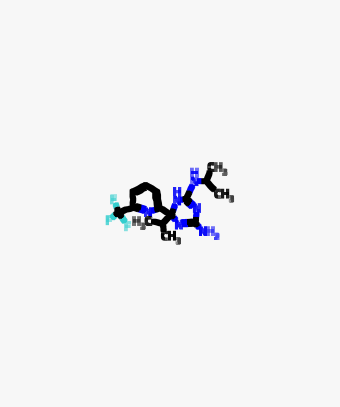 CC(C)NC1=NC(N)=NC(c2cccc(C(F)(F)F)n2)(C(C)C)N1